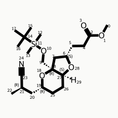 COC(=O)CC[C@H]1C[C@]2(CO[Si](C)(C)C(C)(C)C)O[C@@H](C[C@@H](C)C#N)CC[C@@H]2O1